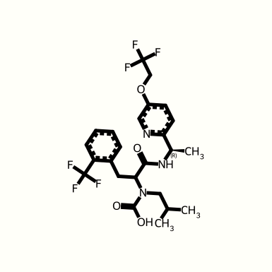 CC(C)CN(C(=O)O)C(Cc1ccccc1C(F)(F)F)C(=O)N[C@H](C)c1ccc(OCC(F)(F)F)cn1